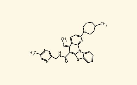 C/N=c1/c(C(=O)NCc2cnc(C)cn2)c2sc3ccccc3n2c2nc(N3CCCN(C)CC3)ccc12